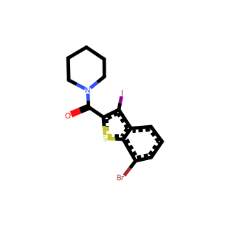 O=C(c1sc2c(Br)cccc2c1I)N1CCCCC1